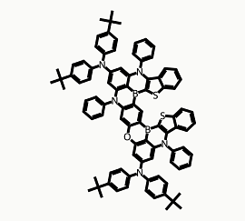 CC(C)(C)c1ccc(N(c2ccc(C(C)(C)C)cc2)c2cc3c4c(c2)N(c2ccccc2)c2c(sc5ccccc25)B4c2cc4c(cc2O3)N(c2ccccc2)c2cc(N(c3ccc(C(C)(C)C)cc3)c3ccc(C(C)(C)C)cc3)cc3c2B4c2sc4ccccc4c2N3c2ccccc2)cc1